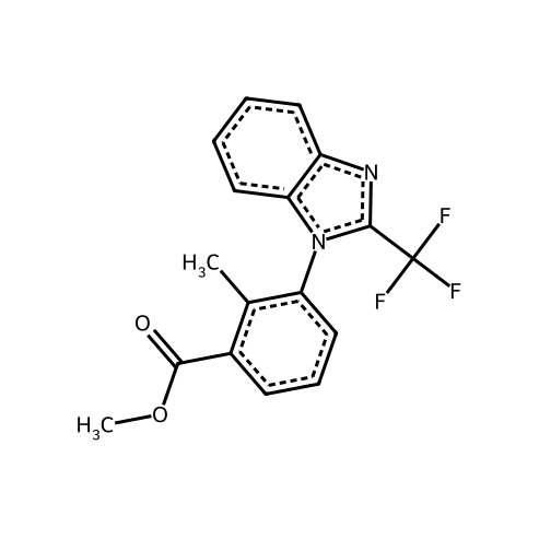 COC(=O)c1cccc(-n2c(C(F)(F)F)nc3ccccc32)c1C